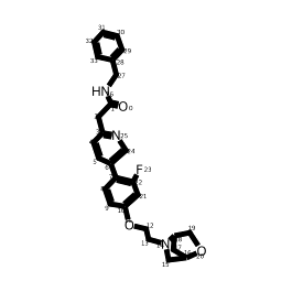 O=C(Cc1ccc(-c2ccc(OCCN3CC4CC3CO4)cc2F)cn1)NCc1ccccc1